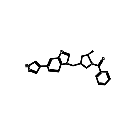 C[C@@H]1CC(Cn2cnc3cc(-c4cn[nH]c4)ccc32)CN1C(=O)c1ccccc1